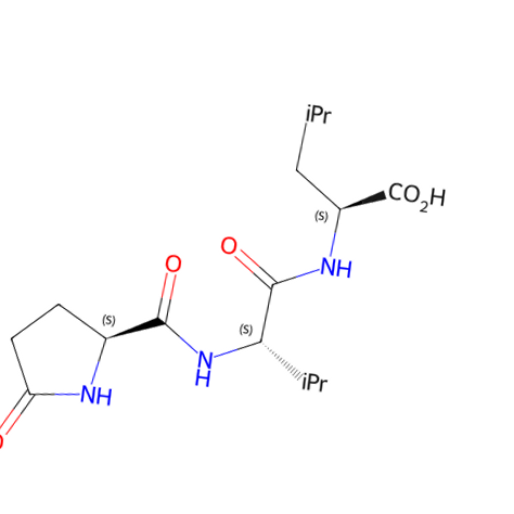 CC(C)C[C@H](NC(=O)[C@@H](NC(=O)[C@@H]1CCC(=O)N1)C(C)C)C(=O)O